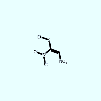 CCSC(=C[N+](=O)[O-])[S+]([O-])CC